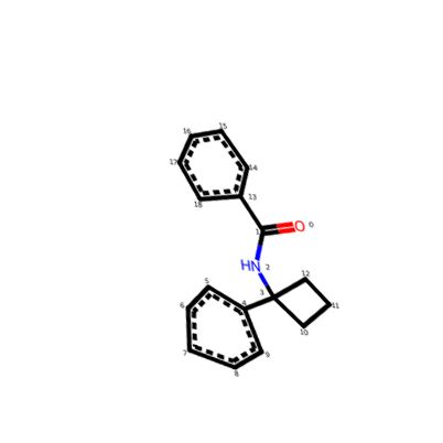 O=C(NC1(c2ccccc2)CCC1)c1ccccc1